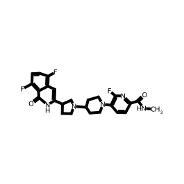 CNC(=O)c1ccc(N2CCC(N3CCC(c4cc5c(F)ccc(F)c5c(=O)[nH]4)C3)CC2)c(F)n1